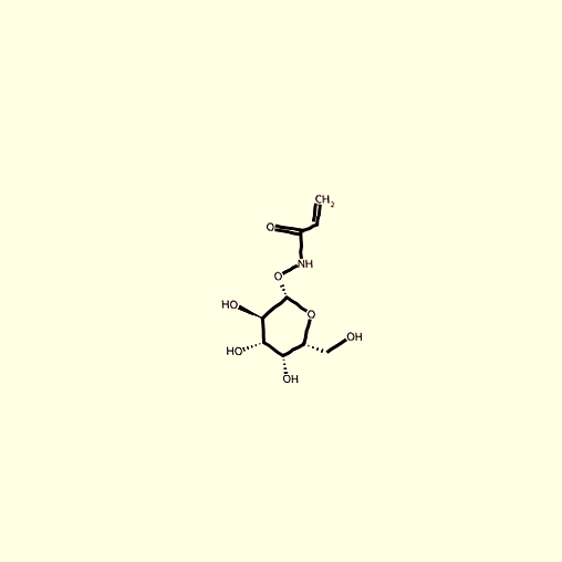 C=CC(=O)NO[C@@H]1O[C@H](CO)[C@H](O)[C@H](O)[C@H]1O